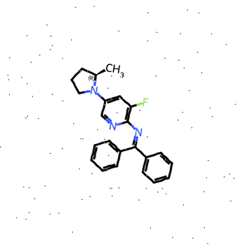 C[C@@H]1CCCN1c1cnc(N=C(c2ccccc2)c2ccccc2)c(F)c1